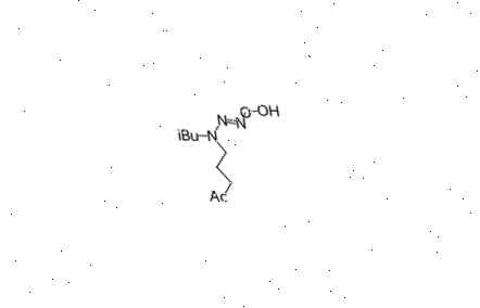 CCC(C)N(CCCC(C)=O)/N=N/OO